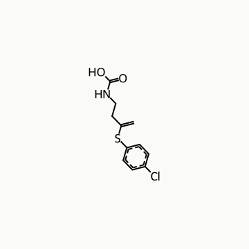 C=C(CCNC(=O)O)Sc1ccc(Cl)cc1